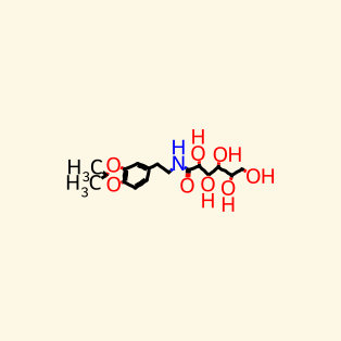 CC1(C)Oc2ccc(CCNC(=O)C(O)C(O)C(O)C(O)CO)cc2O1